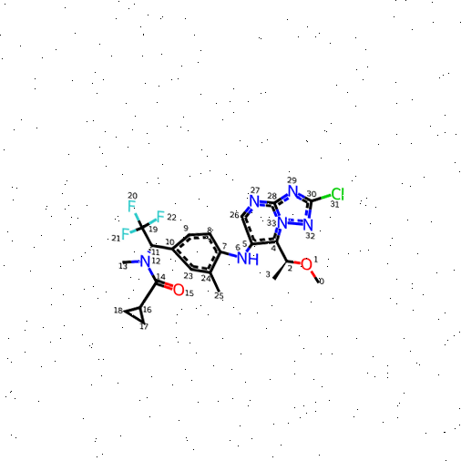 CO[C@@H](C)c1c(Nc2ccc([C@H](N(C)C(=O)C3CC3)C(F)(F)F)cc2C)cnc2nc(Cl)nn12